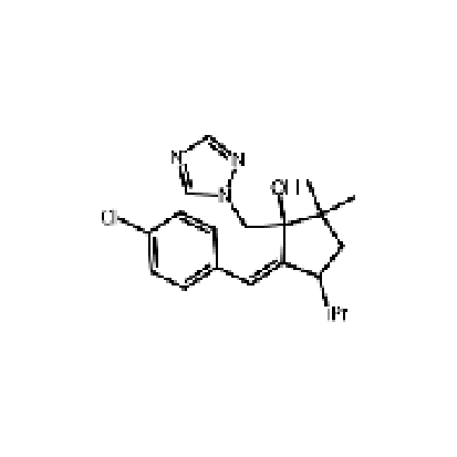 CC(C)C1CC(C)(C)C(O)(Cn2cncn2)/C1=C\c1ccc(Cl)cc1